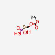 CC(C)OC(=O)OCSP(=O)(O)O